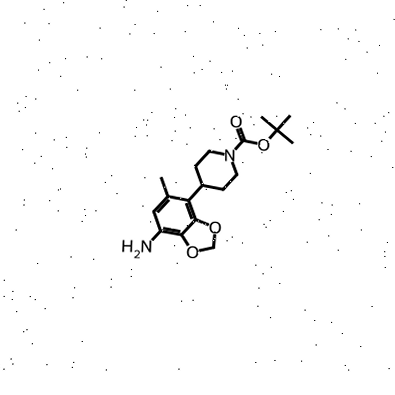 Cc1cc(N)c2c(c1C1CCN(C(=O)OC(C)(C)C)CC1)OCO2